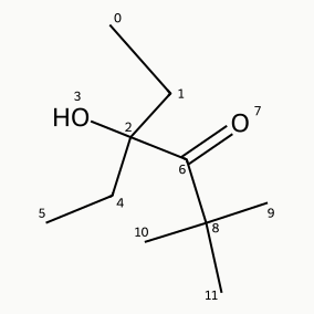 CCC(O)(CC)C(=O)C(C)(C)C